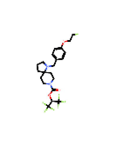 O=C(OC(C(F)(F)F)C(F)(F)F)N1CCC2(CCCN2Cc2ccc(OCCF)cc2)CC1